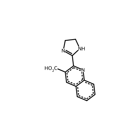 O=C(O)c1cc2ccccc2nc1C1=NCCN1